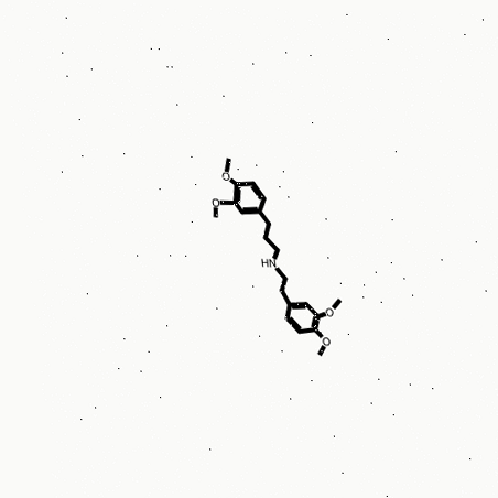 COc1ccc(CCCNCCc2ccc(OC)c(OC)c2)cc1OC